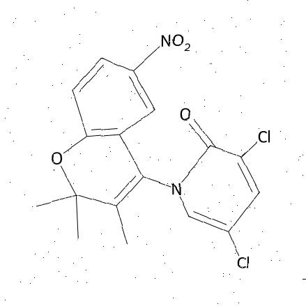 CC1=C(n2cc(Cl)cc(Cl)c2=O)c2cc([N+](=O)[O-])ccc2OC1(C)C